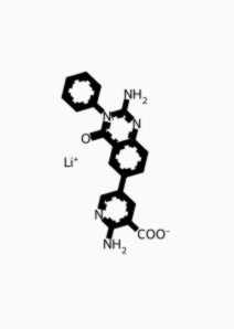 Nc1ncc(-c2ccc3nc(N)n(-c4ccccc4)c(=O)c3c2)cc1C(=O)[O-].[Li+]